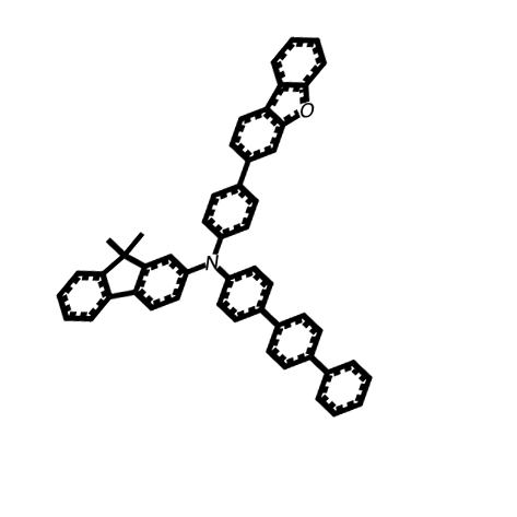 CC1(C)c2ccccc2-c2ccc(N(c3ccc(-c4ccc(-c5ccccc5)cc4)cc3)c3ccc(-c4ccc5c(c4)oc4ccccc45)cc3)cc21